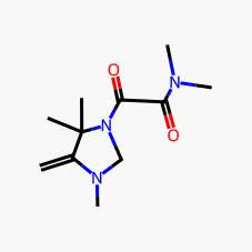 C=C1N(C)CN(C(=O)C(=O)N(C)C)C1(C)C